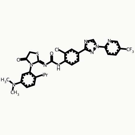 CC(C)c1ccc(N(C)C)cc1N1C(=O)CSC1=NC(=O)Nc1ccc(-c2ncn(-c3ccc(C(F)(F)F)cn3)n2)cc1Cl